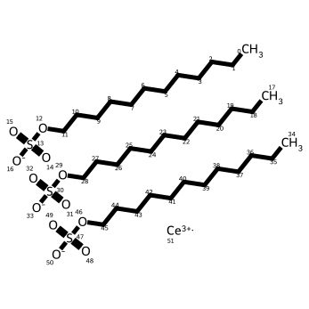 CCCCCCCCCCCCOS(=O)(=O)[O-].CCCCCCCCCCCCOS(=O)(=O)[O-].CCCCCCCCCCCCOS(=O)(=O)[O-].[Ce+3]